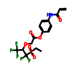 C=CC(=O)Nc1ccc(OC(=O)COC(C(F)(F)F)C(F)(F)S(=O)(=O)CC)cc1